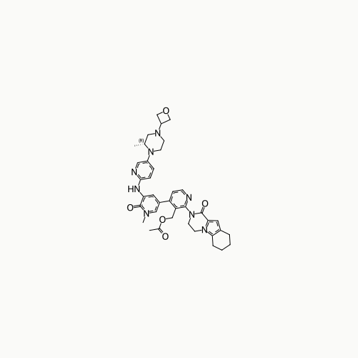 CC(=O)OCc1c(-c2cc(Nc3ccc(N4CCN(C5COC5)C[C@H]4C)cn3)c(=O)n(C)c2)ccnc1N1CCn2c(cc3c2CCCC3)C1=O